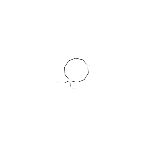 CO[Si]1(OC)CCCCCNCCO1